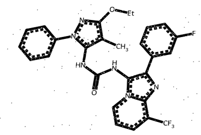 CCOc1nn(-c2ccccc2)c(NC(=O)Nc2c(-c3cccc(F)c3)nc3c(C(F)(F)F)cccn23)c1C